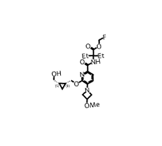 CCC(CC)(NC(=O)c1ccc(N2CC(OC)C2)c(OC[C@@H]2C[C@@H]2CO)n1)C(=O)OCF